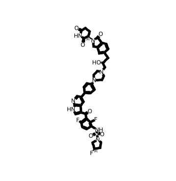 O=C1CC[C@@H](N2Cc3cc(C[C@@H](O)CN4CCN(c5ccc(-c6cnc7[nH]cc(C(=O)c8c(F)ccc(NS(=O)(=O)N9CC[C@@H](F)C9)c8F)c7c6)cc5)CC4)ccc3C2=O)C(=O)N1